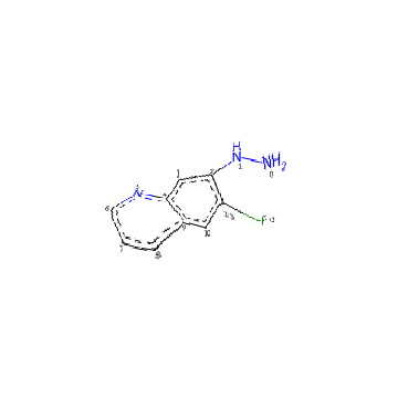 NNc1cc2ncccc2cc1F